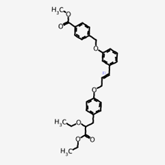 CCOC(=O)C(Cc1ccc(OC/C=C/c2cccc(OCc3ccc(C(=O)OC)cc3)c2)cc1)OCC